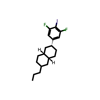 CCCC1CC[C@@H]2C[C@H](c3cc(F)c(I)c(F)c3)CC[C@@H]2C1